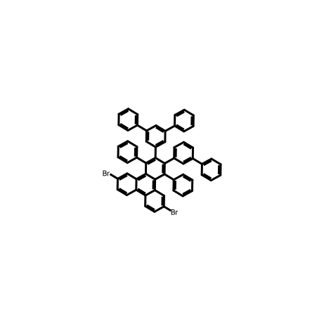 Brc1ccc2c3ccc(Br)cc3c3c(-c4ccccc4)c(-c4cc(-c5ccccc5)cc(-c5ccccc5)c4)c(-c4cccc(-c5ccccc5)c4)c(-c4ccccc4)c3c2c1